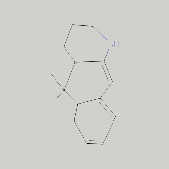 CC1(C)C2CC=CC=C2C=C2NCCCC21